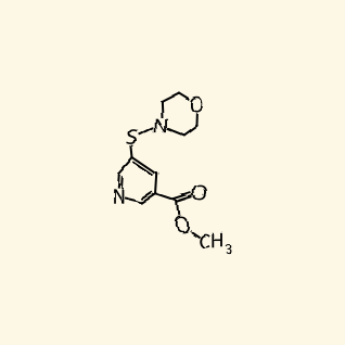 COC(=O)c1cncc(SN2CCOCC2)c1